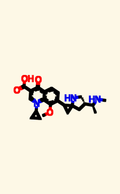 CN[C@@H](C)[C@H]1CNC2(CC2c2ccc3c(=O)c(C(=O)O)cn(C4CC4)c3c2OC)C1